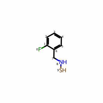 Fc1ccccc1CNS